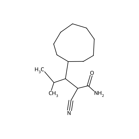 CC(C)C(C1CCCCCCCC1)C(C#N)C(N)=O